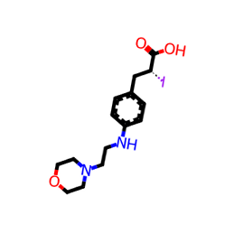 O=C(O)[C@H](I)Cc1ccc(NCCN2CCOCC2)cc1